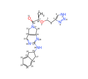 C[C@@H](OCCc1c[nH]nn1)C(=O)N1Cc2cnc(NC3Cc4ccccc4C3)nc2C1